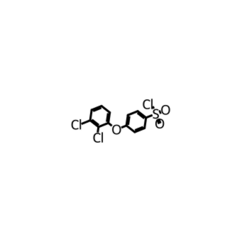 O=S(=O)(Cl)c1ccc(Oc2cccc(Cl)c2Cl)cc1